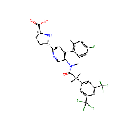 Cc1cc(F)ccc1-c1cc([C@@H]2CC[C@@H](C(=O)O)N2)ncc1N(C)C(=O)C(C)(C)c1cc(C(F)(F)F)cc(C(F)(F)F)c1